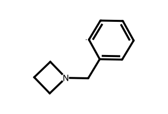 [c]1ccccc1CN1CCC1